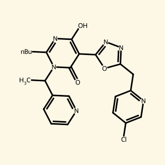 CCCCc1nc(O)c(-c2nnc(Cc3ccc(Cl)cn3)o2)c(=O)n1C(C)c1cccnc1